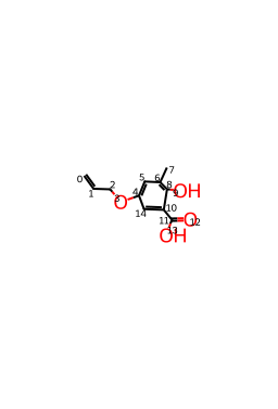 C=CCOc1cc(C)c(O)c(C(=O)O)c1